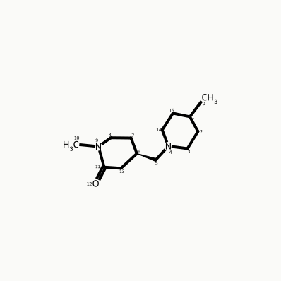 CC1CCN(C[C@@H]2CCN(C)C(=O)C2)CC1